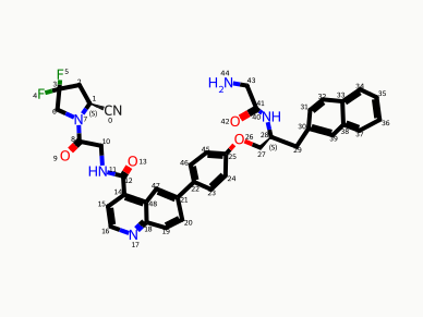 N#C[C@@H]1CC(F)(F)CN1C(=O)CNC(=O)c1ccnc2ccc(-c3ccc(OC[C@H](Cc4ccc5ccccc5c4)NC(=O)CN)cc3)cc12